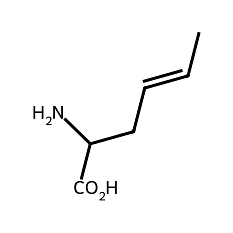 CC=CCC(N)C(=O)O